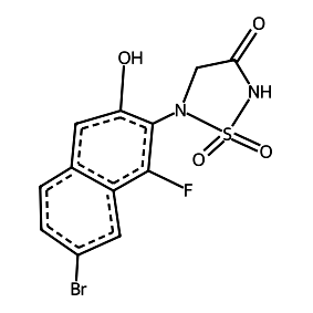 O=C1CN(c2c(O)cc3ccc(Br)cc3c2F)S(=O)(=O)N1